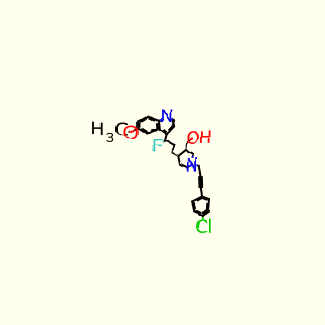 COc1ccc2nccc(C(F)CC[C@@H]3CCN(CC#Cc4ccc(Cl)cc4)C[C@@H]3CO)c2c1